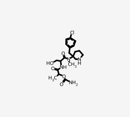 CC(OC(N)=O)C(=O)NC(CO)C(=O)N(C)C1(Cc2ccc(Cl)cc2)CCCNC1